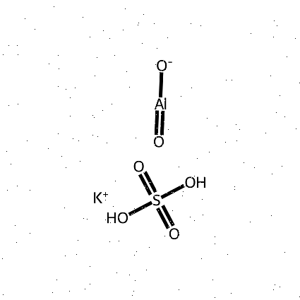 O=S(=O)(O)O.[K+].[O]=[Al][O-]